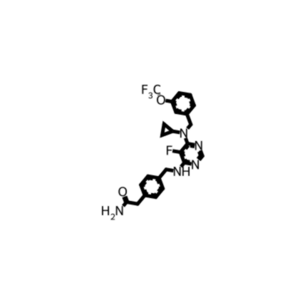 NC(=O)Cc1ccc(CNc2ncnc(N(Cc3cccc(OC(F)(F)F)c3)C3CC3)c2F)cc1